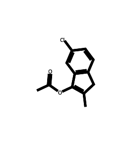 CC(=O)OC1=C(C)Cc2ccc(Cl)cc21